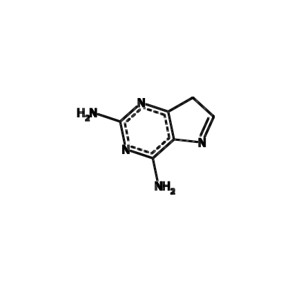 Nc1nc(N)c2c(n1)CC=N2